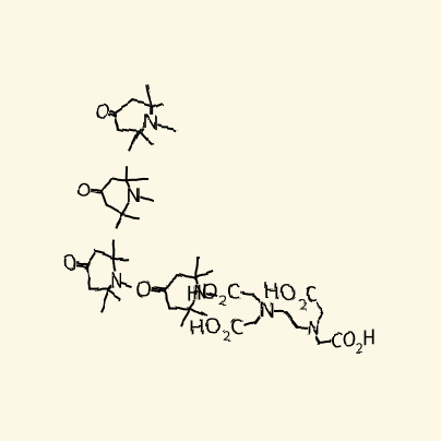 CN1C(C)(C)CC(=O)CC1(C)C.CN1C(C)(C)CC(=O)CC1(C)C.CN1C(C)(C)CC(=O)CC1(C)C.CN1C(C)(C)CC(=O)CC1(C)C.O=C(O)CN(CCN(CC(=O)O)CC(=O)O)CC(=O)O